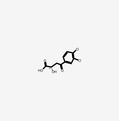 O=C(C[C@H](O)C(=O)O)c1ccc(Cl)c(Cl)c1